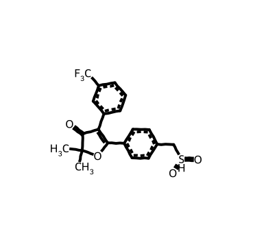 CC1(C)OC(c2ccc(C[SH](=O)=O)cc2)=C(c2cccc(C(F)(F)F)c2)C1=O